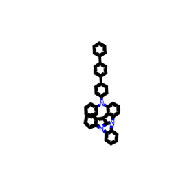 c1ccc(-c2ccc(-c3ccc(N(c4ccccc4)c4cccc5c4c4c6ccccc6n6c7ccccc7n5c46)cc3)cc2)cc1